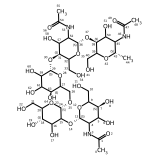 CC(=O)NC1C(O)[C@H](O)C(CO)O[C@H]1OC1C(O)[C@H](O)C(CO)O[C@@H]1OCC1O[C@@H](O[C@@H]2C(CO)O[C@@H](O[C@@H]3C(CO)O[C@@H](C)C(NC(C)=O)C3O)C(NC(C)=O)C2O)C(O)C(O)[C@@H]1O